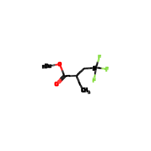 CCCCOC(=O)C(C)C[Si](F)(F)F